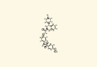 CCOc1ccc(S(=O)(=O)N(C)c2ccc(OCC(=O)N(CCN3CCN(C)CC3)Cc3ccccc3)cc2)cc1